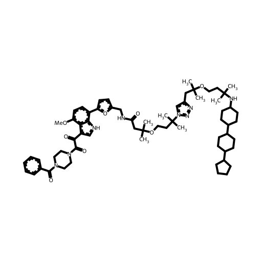 COc1ccc(-c2ccc(CNC(=O)CC(C)(C)OCCC(C)(C)n3cc(CC(C)(C)OCCC(C)(C)NC4CCC(C5CCC(C6CCCC6)CC5)CC4)nn3)o2)c2[nH]cc(C(=O)C(=O)N3CCN(C(=O)c4ccccc4)CC3)c12